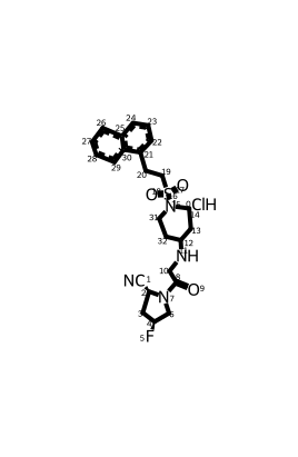 Cl.N#C[C@@H]1C[C@H](F)CN1C(=O)CNC1CCN(S(=O)(=O)CCc2cccc3ccccc23)CC1